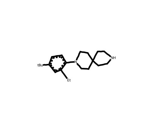 CCc1cc(C(C)(C)C)ccc1N1CCC2(CCNCC2)CC1